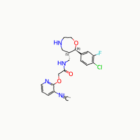 [C-]#[N+]c1cccnc1OCC(=O)NC[C@@H]1CNCCO[C@H]1c1ccc(Cl)c(F)c1